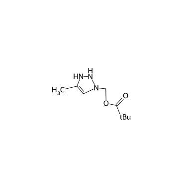 CC1=CN(COC(=O)C(C)(C)C)NN1